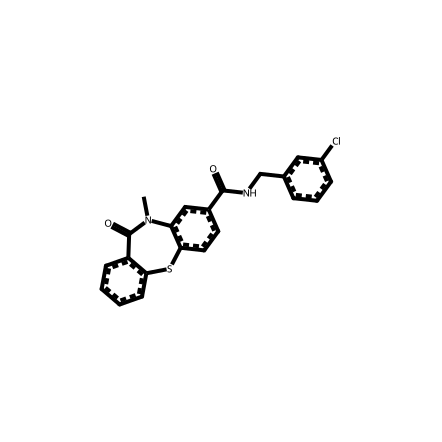 CN1C(=O)c2ccccc2Sc2ccc(C(=O)NCc3cccc(Cl)c3)cc21